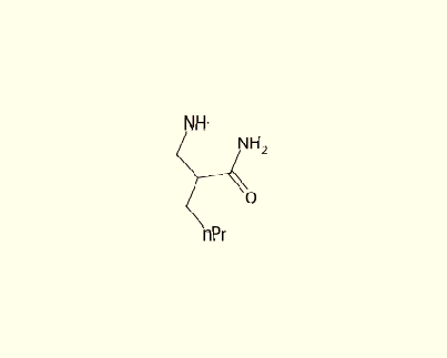 CCCCC(C[NH])C(N)=O